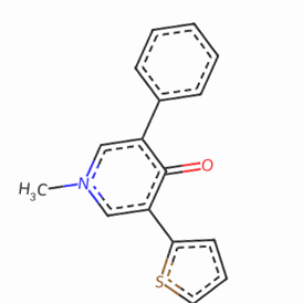 Cn1cc(-c2ccccc2)c(=O)c(-c2cccs2)c1